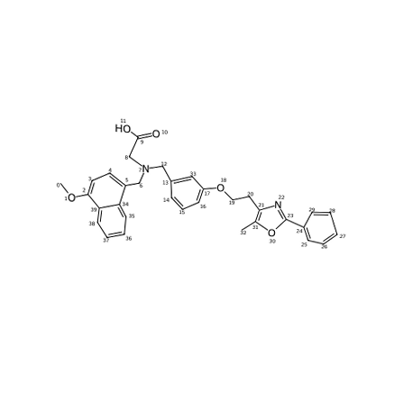 COc1ccc(CN(CC(=O)O)Cc2cccc(OCCc3nc(-c4ccccc4)oc3C)c2)c2ccccc12